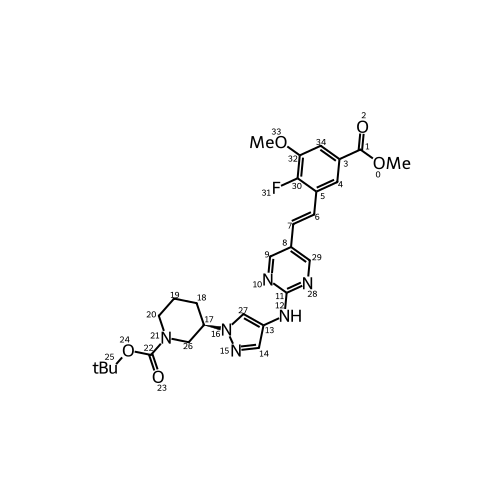 COC(=O)c1cc(/C=C/c2cnc(Nc3cnn([C@@H]4CCCN(C(=O)OC(C)(C)C)C4)c3)nc2)c(F)c(OC)c1